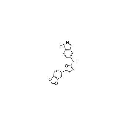 c1cc2[nH]ncc2cc1Nc1ncc(-c2ccc3c(c2)OCO3)o1